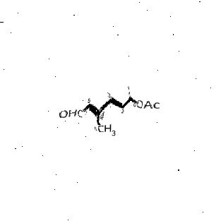 CC(=O)OC/C=C/C(C)=C/C=O